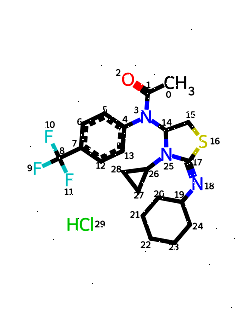 CC(=O)N(c1ccc(C(F)(F)F)cc1)C1CSC(=NC2CCCCC2)N1C1CC1.Cl